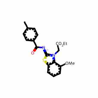 CCOC(=O)Cn1/c(=N/C(=O)c2ccc(C)cc2)sc2cccc(OC)c21